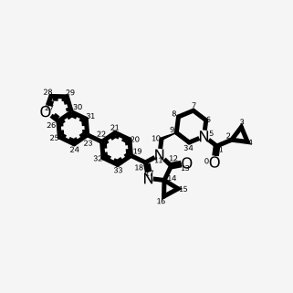 O=C(C1CC1)N1CCC[C@H](CN2C(=O)C3(CC3)N=C2c2ccc(-c3ccc4occc4c3)cc2)C1